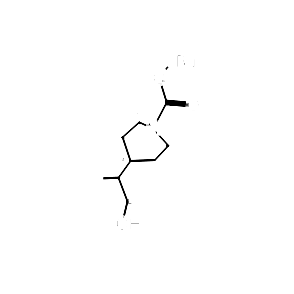 CCC(CO)C1CCN(C(=O)OC(C)(C)C)CC1